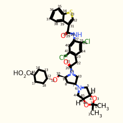 CC1(C)O[C@H]2CN([C@H]3C[C@@H](CO[C@H]4CC[C@H](C(=O)O)CC4)N(C(=O)Cc4cc(Cl)c(NC(=O)c5csc6ccccc56)cc4Cl)C3)C[C@H]2O1